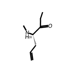 C=CC[C@H](NC)C(=O)CC